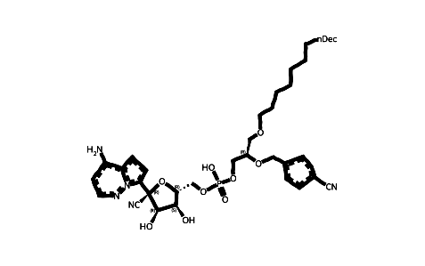 CCCCCCCCCCCCCCCCCOC[C@H](COP(=O)(O)OC[C@H]1O[C@@](C#N)(c2ccc3c(N)ccnn23)[C@H](O)[C@@H]1O)OCc1ccc(C#N)cc1